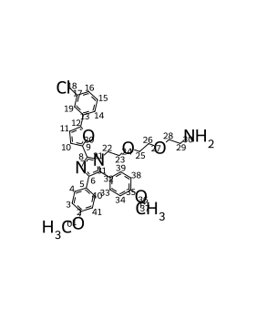 COc1ccc(-c2nc(-c3ccc(-c4cccc(Cl)c4)o3)n(CCOCCOCCN)c2-c2ccc(OC)cc2)cc1